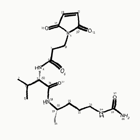 CC(C)[C@H](NC(=O)CCN1C(=O)C=CC1=O)C(=O)N[C@@H](C)CCCNC(N)=O